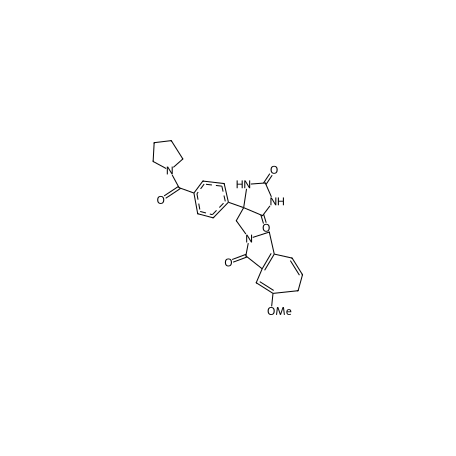 COC1=CC2=C(C=CC1)CN(CC1(c3ccc(C(=O)N4CCCC4)cc3)NC(=O)NC1=O)C2=O